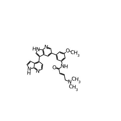 COc1cc(NC(=O)/C=C/CN(C)C)cc(-c2cnc3[nH]cc(-c4ccnc5[nH]ccc45)c3c2)c1